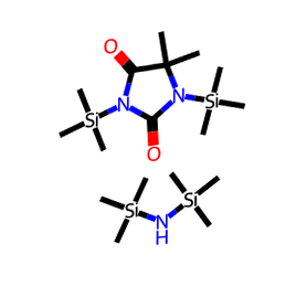 CC1(C)C(=O)N([Si](C)(C)C)C(=O)N1[Si](C)(C)C.C[Si](C)(C)N[Si](C)(C)C